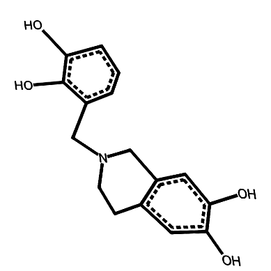 Oc1cc2c(cc1O)CN(Cc1cccc(O)c1O)CC2